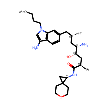 COCCCn1cc(N)c2ccc(C[C@@H](C[C@H](N)[C@@H](O)C[C@H](C(=O)N[C@@H]3CC34CCOCC4)C(C)C)C(C)C)cc21